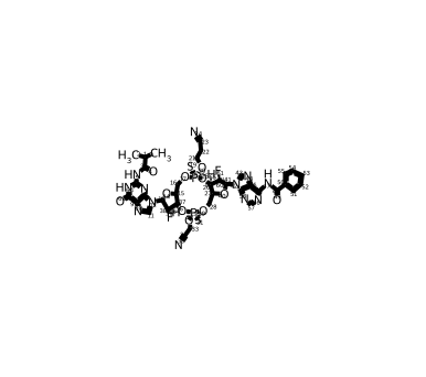 CC(C)C(=O)Nc1nc2c(ncn2C2OC3COP(=S)(OCCC#N)O[C@@H]4C(COP(=S)(OCC#N)O[C@H]3[C@H]2F)OC(n2cnc3c(NC(=O)c5ccccc5)ncnc32)[C@@H]4F)c(=O)[nH]1